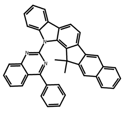 CC1(C)c2cc3ccccc3cc2-c2ccc3c4ccccc4n(-c4nc(-c5ccccc5)c5ccccc5n4)c3c21